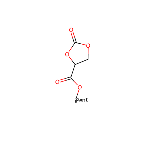 CCCC(C)OC(=O)C1COC(=O)O1